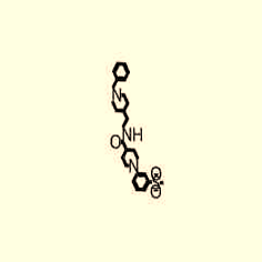 CS(=O)(=O)c1cccc(N2CCC(C(=O)NCCC3CCN(Cc4ccccc4)CC3)CC2)c1